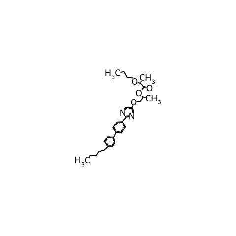 CCCCCc1ccc(-c2ccc(-c3ncc(OC[C@H](C)OC(=O)[C@H](C)OCCCC)cn3)cc2)cc1